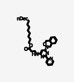 CCCCCCCCCCCCCCCCCCOC(=O)CCNc1cc(N2CC3CC=CC=C3CO2)nc(-c2ccccn2)n1